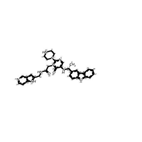 C[C@@H](Nc1cnc(N2CCNCC2)n(CC(=O)NCc2cc3cnccc3[nH]2)c1=O)c1ccc2oc3ccccc3c2c1